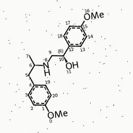 COc1ccc(CC(C)NC[C@H](O)c2ccc(OC)cc2)cc1